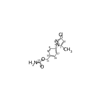 Cc1cc(Cl)nn1-c1ccc(COC(N)=O)cc1